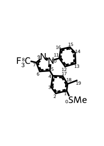 CSc1ccc(-c2cc(C(F)(F)F)nn2-c2ccccc2)cc1C